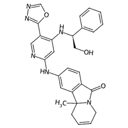 CC12CC=CCN1C(=O)c1ccc(Nc3cc(N[C@H](CO)c4ccccc4)c(-c4nnco4)cn3)cc12